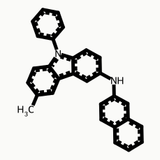 Cc1ccc2c(c1)c1cc(Nc3ccc4ccccc4c3)ccc1n2-c1ccccc1